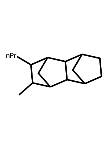 CCCC1C(C)C2CC1C1C3CCC(C3)C21